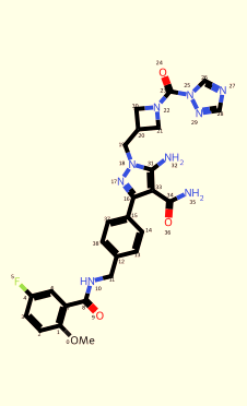 COc1ccc(F)cc1C(=O)NCc1ccc(-c2nn(CC3CN(C(=O)n4cncn4)C3)c(N)c2C(N)=O)cc1